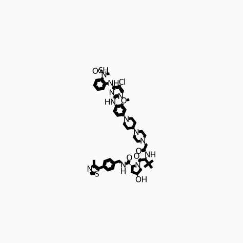 COc1cc(N2CCC(N3CCN(CC(=O)N[C@H](C(=O)N4C[C@H](O)C[C@@H]4C(=O)NCc4ccc(-c5scnc5C)cc4)C(C)(C)C)CC3)CC2)ccc1Nc1ncc(Cl)c(Nc2ccccc2N(C)[SH]=O)n1